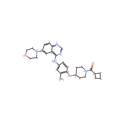 Cc1cc(Nc2ncnc3ccc(N4CCOCC4)cc23)ccc1OC1CCN(C(=O)C2CCC2)CC1